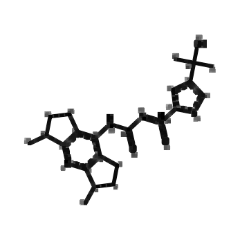 CC1CCc2c1nc1c(c2NC(=O)/N=[SH](=O)/c2cc(C(C)(C)O)cs2)CCC1C